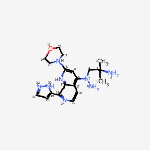 CC(C)(N)CN(N)c1cc(N2CCOCC2)nc2c(-c3ccn[nH]3)nccc12